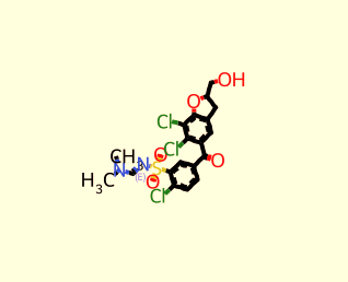 CN(C)/C=N/S(=O)(=O)c1cc(C(=O)c2cc3c(c(Cl)c2Cl)OC(CO)C3)ccc1Cl